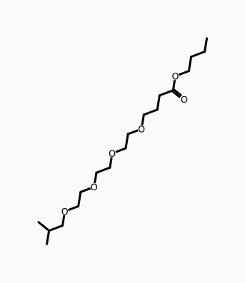 CCCCOC(=O)CCCOCCOCCOCCOCC(C)C